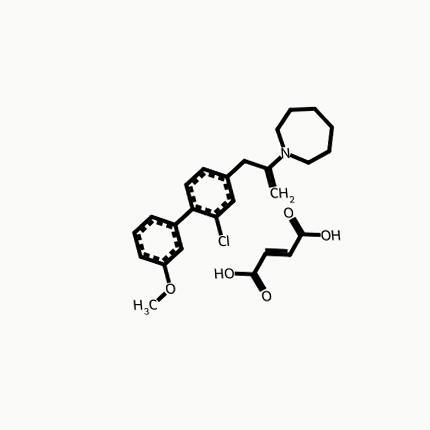 C=C(Cc1ccc(-c2cccc(OC)c2)c(Cl)c1)N1CCCCCC1.O=C(O)/C=C/C(=O)O